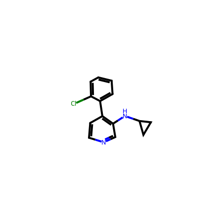 Clc1ccccc1-c1ccncc1NC1CC1